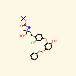 CC(CO)(CCc1ccc(Sc2cc(OCc3ccccc3)ccc2O)cc1Cl)NC(=O)OC(C)(C)C